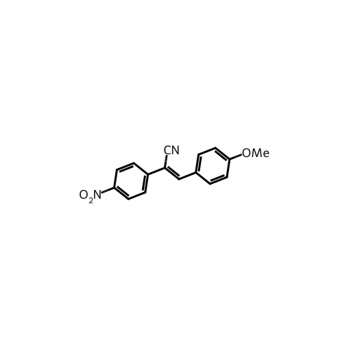 COc1ccc(/C=C(\C#N)c2ccc([N+](=O)[O-])cc2)cc1